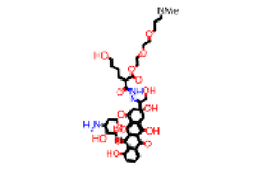 CNCCCOCCOCCOC(=O)C(CCCCO)C(=O)NN=C(CO)[C@]1(O)Cc2c(O)c3c(c(O)c2[C@@H](O[C@H]2C[C@@H](N)[C@H](O)C(C)O2)C1)C(=O)c1c(O)cccc1C3=O